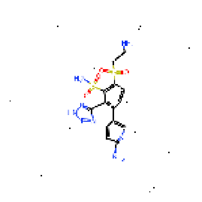 NCCS(=O)(=O)c1ccc(-c2ccc(N)nc2)c(-c2nn[nH]n2)c1S(N)(=O)=O